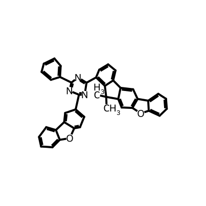 CC1(C)c2cc3oc4ccccc4c3cc2-c2cccc(-c3nc(-c4ccccc4)nc(-c4ccc5oc6ccccc6c5c4)n3)c21